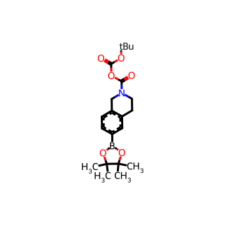 CC(C)(C)OC(=O)OC(=O)N1CCc2cc(B3OC(C)(C)C(C)(C)O3)ccc2C1